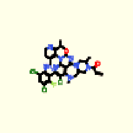 C=CC(=O)N1CC2CN(C)c3c(Cl)c(-c4c(N)c(Cl)cc(Cl)c4F)nc4c3c(nc(=O)n4-c3c(C)ccnc3C(C)C)N2CC1C